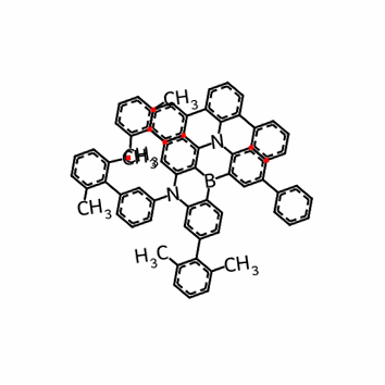 Cc1cccc(C)c1-c1cccc(N2c3cc(-c4c(C)cccc4C)ccc3B3c4cc(-c5ccccc5)ccc4N(c4c(-c5ccccc5)cccc4-c4ccccc4)c4cc(-c5c(C)cccc5C)cc2c43)c1